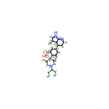 C[C@@H]1CN(C(CF)CF)C[C@H](C)C1(O)c1ccc(-c2ccnc3[nH]cc(F)c23)cc1Cl